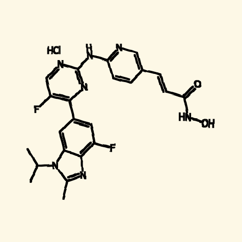 Cc1nc2c(F)cc(-c3nc(Nc4ccc(C=CC(=O)NO)cn4)ncc3F)cc2n1C(C)C.Cl